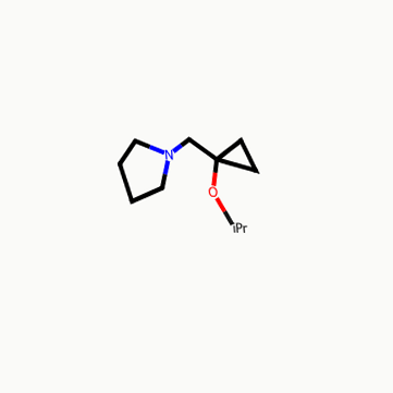 CC(C)OC1(CN2CCCC2)CC1